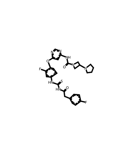 O=C(Cc1ccc(F)cc1)NC(=S)Nc1ccc(Oc2cc(NC(=O)N3CC(N4CCCC4)C3)ncn2)c(F)c1